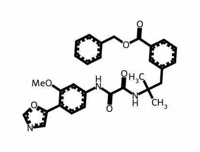 COc1cc(NC(=O)C(=O)NC(C)(C)Cc2cccc(C(=O)OCc3ccccc3)c2)ccc1-c1cnco1